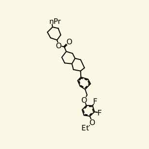 CCCC1CCC(OC(=O)C2CCC3CC(c4ccc(COc5ccc(OCC)c(F)c5F)cc4)CCC3C2)CC1